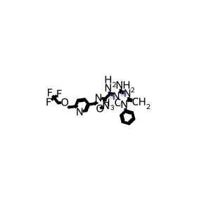 C=C(/N=C(N)\N=C(/N)c1noc(-c2ccc(COCC(F)(F)F)nc2)n1)N(C)c1ccccc1